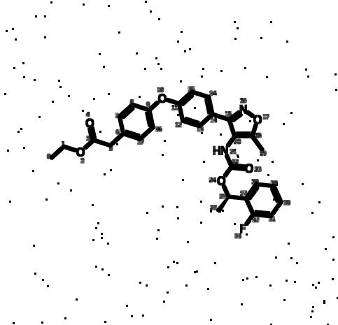 CCOC(=O)Cc1ccc(Oc2ccc(-c3noc(C)c3NC(=O)O[C@H](C)c3ccccc3F)cc2)cc1